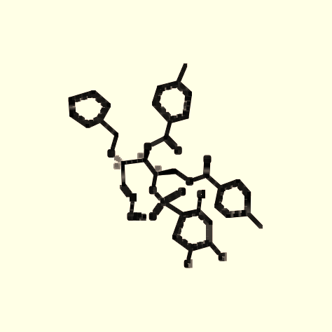 CON=C[C@H](OCc1ccccc1)[C@@H](OC(=O)c1ccc(C)cc1)[C@@H](COC(=O)c1ccc(C)cc1)OS(=O)(=O)c1cc(Cl)c(Cl)cc1Cl